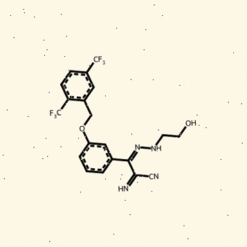 N#CC(=N)/C(=N\NCCO)c1cccc(OCc2cc(C(F)(F)F)ccc2C(F)(F)F)c1